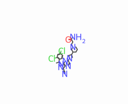 CC(c1ccc(Cl)cc1Cl)n1nc(C#N)c2ncc(N3CC(C4CCCN(CCC(N)=O)C4)C3)nc21